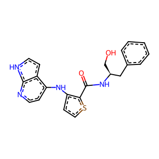 O=C(N[C@@H](CO)Cc1ccccc1)c1sccc1Nc1ccnc2[nH]ccc12